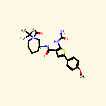 COc1ccc(-c2cc(C(=O)N[C@H]3CCCC[N+](C(=O)[O-])(C(C)(C)C)C3)c(NC(N)=O)s2)cc1